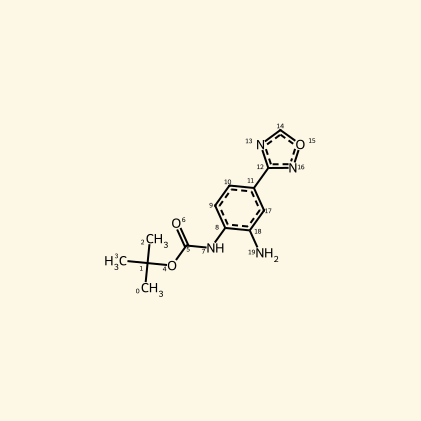 CC(C)(C)OC(=O)Nc1ccc(-c2ncon2)cc1N